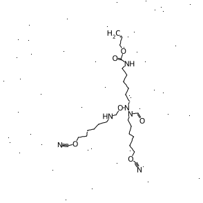 C=CCOC(=O)NCCCCCCN(OCNCCCCCCOC#N)N(C=O)CCCCCCOC#N